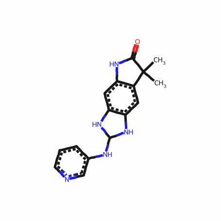 CC1(C)C(=O)Nc2cc3c(cc21)NC(Nc1cccnc1)N3